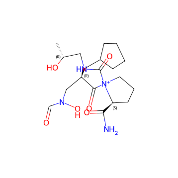 C[C@@H](O)CNC(=O)[N+]1(C(=O)[C@H](CC2CCCC2)CN(O)C=O)CCC[C@H]1C(N)=O